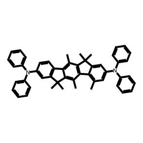 Cc1cc(N(c2ccccc2)c2ccccc2)cc2c1-c1c(C)c3c(c(C)c1C2(C)C)-c1ccc(N(c2ccccc2)c2ccccc2)cc1C3(C)C